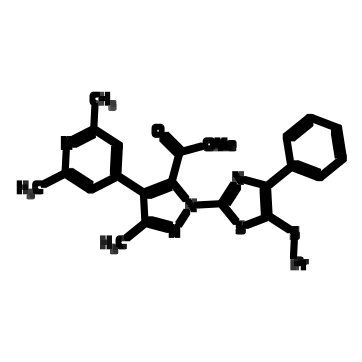 COC(=O)c1c(-c2cc(C)nc(C)c2)c(C)nn1-c1nc(-c2ccccc2)c(SC(C)C)s1